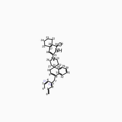 C=C/C=C(\C=C/C)CC1=CCC2(CCN(c3cc4c(c(=O)[nH]3)CCCC4)CC2)c2ccccc21